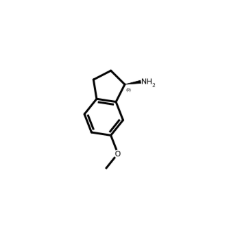 COc1ccc2c(c1)[C@H](N)CC2